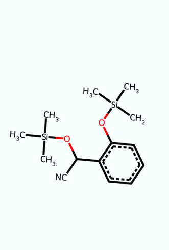 C[Si](C)(C)Oc1ccccc1C(C#N)O[Si](C)(C)C